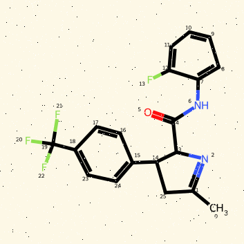 CC1=NC(C(=O)Nc2ccccc2F)C(c2ccc(C(F)(F)F)cc2)C1